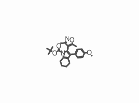 COc1ccc(-c2c3c(n(C(=O)OC(C)(C)C)c2-c2c(C)noc2C)CCCC3)cc1